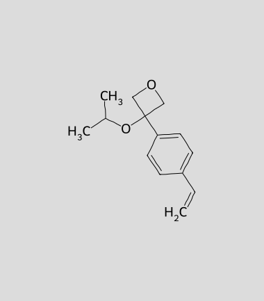 C=Cc1ccc(C2(OC(C)C)COC2)cc1